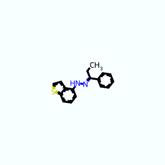 CC/C(=N\Nc1cccc2sccc12)c1ccccc1